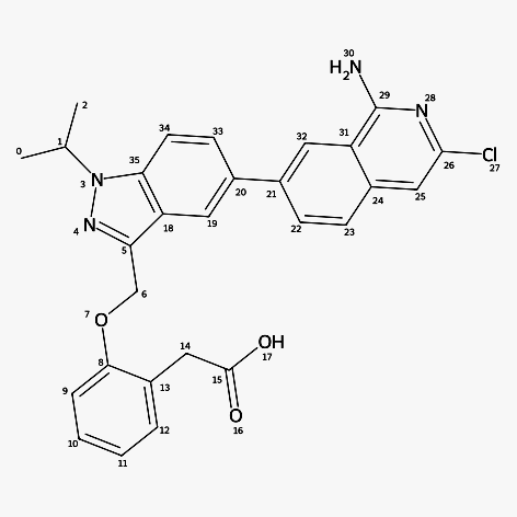 CC(C)n1nc(COc2ccccc2CC(=O)O)c2cc(-c3ccc4cc(Cl)nc(N)c4c3)ccc21